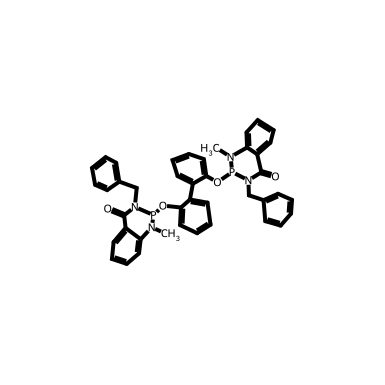 CN1c2ccccc2C(=O)N(Cc2ccccc2)P1Oc1ccccc1-c1ccccc1OP1N(Cc2ccccc2)C(=O)c2ccccc2N1C